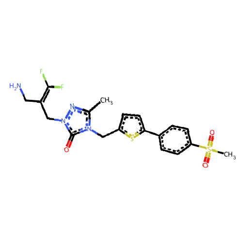 Cc1nn(CC(CN)=C(F)F)c(=O)n1Cc1ccc(-c2ccc(S(C)(=O)=O)cc2)s1